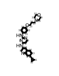 c1cc(Nc2cnc3cc(C4CC4)ccc3c2)nc(Nc2ccc(OCCCN3CCOCC3)cc2)n1